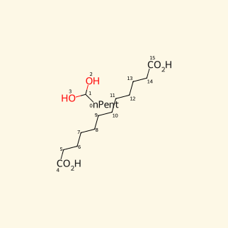 CCCCCC(O)O.O=C(O)CCCCCCCCCCC(=O)O